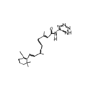 CC(C=CC1=C(C)CCCC1(C)C)=CC=CC(C)=CC(=O)Nc1nnn[nH]1